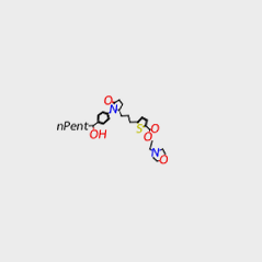 CCCCCC(O)c1ccc(N2C(=O)CC[C@H]2CCCc2ccc(C(=O)OCCN3CCOCC3)s2)cc1